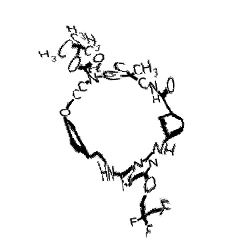 CC1(C)CNC(=O)c2ccc(cc2)Nc2nc(nc(OCC(F)(F)F)n2)NCc2ccc(cc2)OCCCN(C(=O)OC(C)(C)C)C1